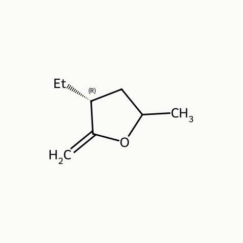 C=C1OC(C)C[C@H]1CC